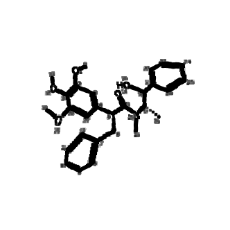 COc1cc([C@H](Cc2ccccc2)C(=O)N(C)[C@@H](C)C(O)c2ccccc2)cc(OC)c1OC